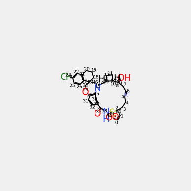 CC[C@@H]1CC/C=C/C[C@H](O)[C@@H]2CC[C@H]2CN2C[C@@]3(CCCc4cc(Cl)ccc43)COc3ccc(cc32)C(=O)NS1(=O)=O